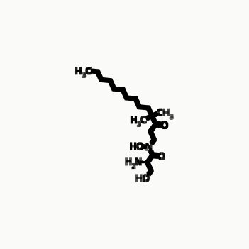 CCCCCCCCCCC(C)(C)C(=O)CCN(O)C(=O)[C@@H](N)CO